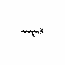 CCCCCCC([C]=O)CCCOC(C)=O